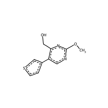 COc1ncc(-c2ccsc2)c(CO)n1